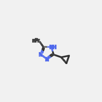 CCCc1nnc(C2CC2)[nH]1